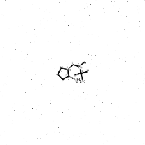 CN(C[C@@H]1CCC[C@@H]1N)C(C)(C)C